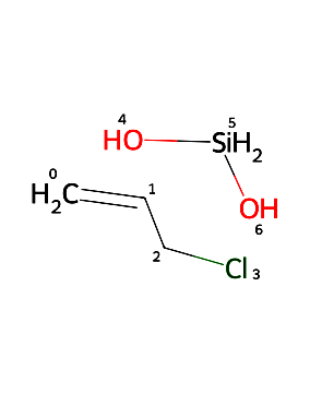 C=CCCl.O[SiH2]O